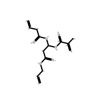 C=CCOC(=O)CC(OC(=O)CC=C)OC(=O)C(=C)C